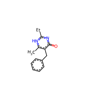 CCc1nc(=O)c(Cc2ccccc2)c(C)[nH]1